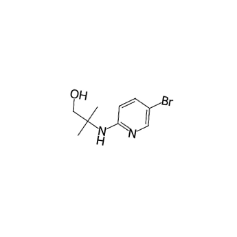 CC(C)(CO)Nc1ccc(Br)cn1